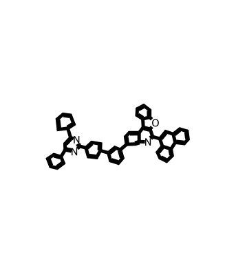 c1ccc(-c2cc(-c3ccccc3)nc(-c3ccc(-c4cccc(-c5ccc6c(c5)nc(-c5cc7ccccc7c7ccccc57)c5oc7ccccc7c56)c4)cc3)n2)cc1